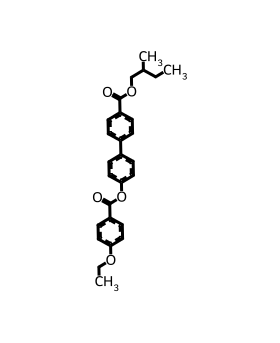 CCOc1ccc(C(=O)Oc2ccc(-c3ccc(C(=O)OCC(C)CC)cc3)cc2)cc1